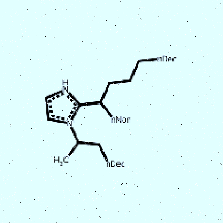 CCCCCCCCCCCCCC(CCCCCCCCC)c1[nH]cc[n+]1C(C)CCCCCCCCCCC